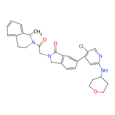 CC1c2ccccc2CCN1C(=O)CN1Cc2ccc(-c3cc(NC4CCOCC4)ncc3Cl)cc2C1=O